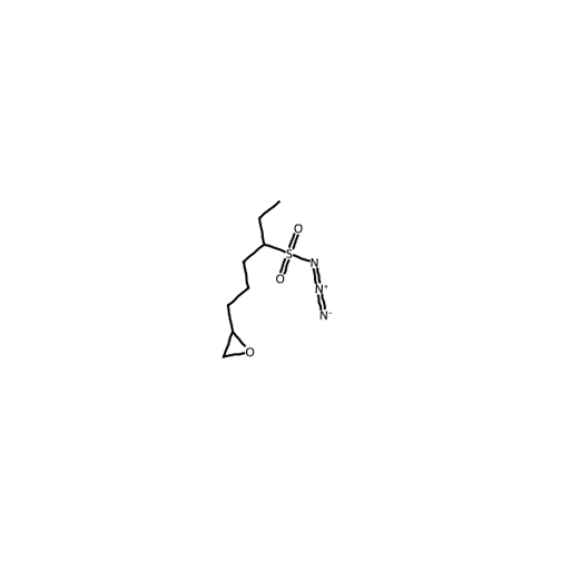 CCC(CCCC1CO1)S(=O)(=O)N=[N+]=[N-]